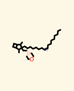 CCCCCCCC/C=C\CCCCCCCC1(CCB2CCOCC2)C(C)C2CCC2C1C